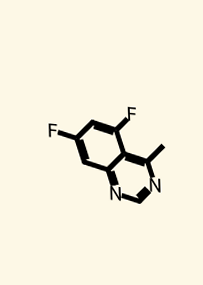 Cc1ncnc2cc(F)cc(F)c12